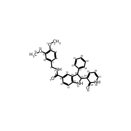 COc1ccc(CNC(=O)c2ccc3c(c2)C(c2ccccc2)C(c2ccc[nH]c2=O)N3)cc1OC